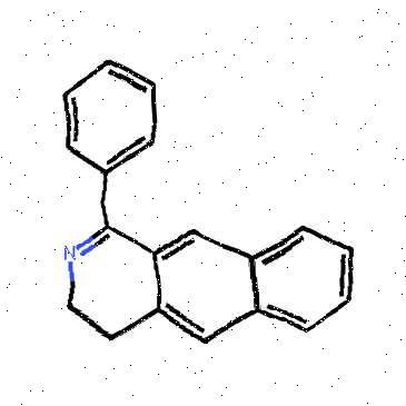 c1ccc(C2=NCCc3cc4ccccc4cc32)cc1